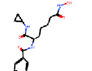 O=C(CCCC[C@@H](NC(=O)c1ccccc1)C(=O)NC1CC1)NO